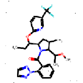 CCC(Oc1ccc(C(F)(F)F)cn1)C1CC(C)C(C(C)OC)N1C(=O)c1ccccc1-n1nccn1